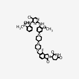 COc1cc(N2CCC(N3CCN(Cc4ccc5c(c4F)CN(C4CCC(=O)NC4=O)C5=O)CC3)CC2)ccc1Nc1ncc(Cl)c(Nc2ccccc2P(C)C)n1